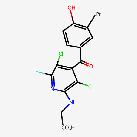 CC(C)c1cc(C(=O)c2c(Cl)c(F)nc(NCC(=O)O)c2Cl)ccc1O